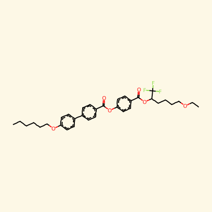 CCCCCCOc1ccc(-c2ccc(C(=O)Oc3ccc(C(=O)OC(CCCCOCC)C(F)(F)F)cc3)cc2)cc1